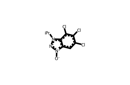 CC(C)n1n[n+]([O-])c2cc(Cl)c(Cl)c(Cl)c21